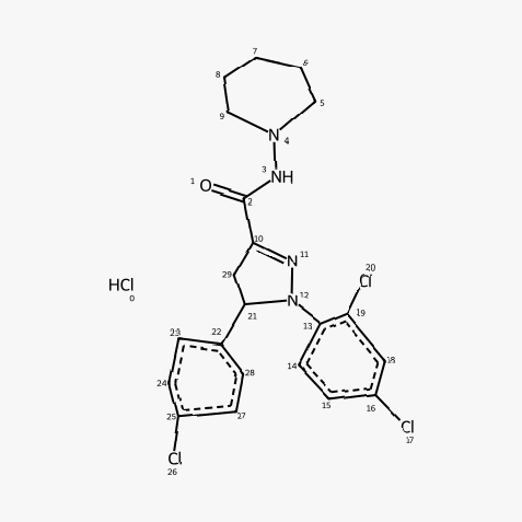 Cl.O=C(NN1CCCCC1)C1=NN(c2ccc(Cl)cc2Cl)C(c2ccc(Cl)cc2)C1